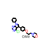 COC(COc1ccc(-c2cn(-c3ccccc3)c3ncnc(Cl)c23)cc1)CN1CCOCC1